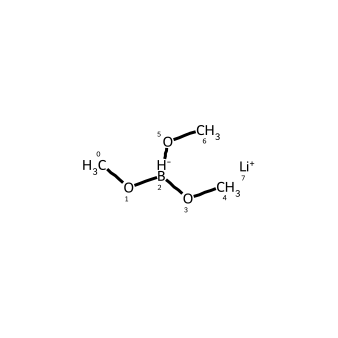 CO[BH-](OC)OC.[Li+]